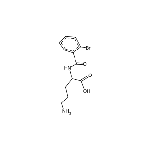 NCCCC(NC(=O)c1ccccc1Br)C(=O)O